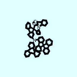 c1ccc2c(c1)-c1ccccc1C21c2ccccc2-c2c(N(c3ccc4c(c3)C3(c5ccccc5-4)c4ccccc4-n4c5ccccc5c5cccc3c54)c3ccc4c5ccccc5c5ccccc5c4c3)cccc21